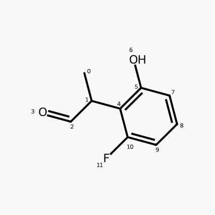 CC(C=O)c1c(O)cccc1F